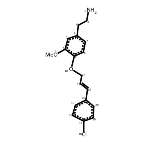 COc1cc(CCN)ccc1OCC=Cc1ccc(Cl)cc1